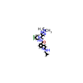 CN(C)c1ncc(C(CNC(=O)c2cccc3nc(NCC4CC4)ccc23)N2CCC(F)(F)CC2)cn1